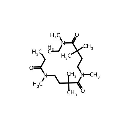 CCC(=O)N(C)CCC(C)(C)C(=O)N(C)CCC(C)(C)C(=O)N(C)CC